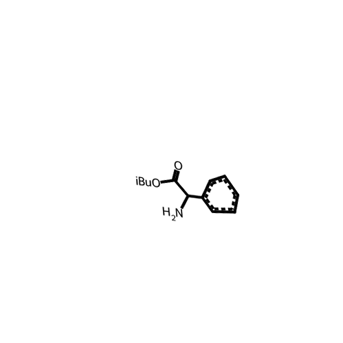 CC(C)COC(=O)C(N)c1ccccc1